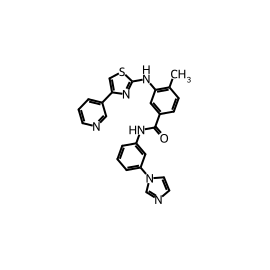 Cc1ccc(C(=O)Nc2cccc(-n3ccnc3)c2)cc1Nc1nc(-c2cccnc2)cs1